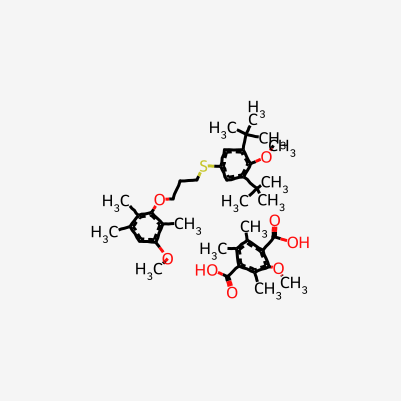 COc1c(C)c(C(=O)O)c(C)c(C)c1C(=O)O.COc1cc(C)c(C)c(OCCCSc2cc(C(C)(C)C)c(OC)c(C(C)(C)C)c2)c1C